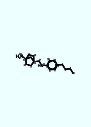 CCCCc1ccc(NC[C@]23CC[C@](N)(CC2)C3)cc1